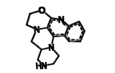 c1ccc2c3c4c(nc2c1)OCCN4CC1CNCCN31